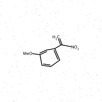 C=C(c1cccc(OC)c1)[N+](=O)[O-]